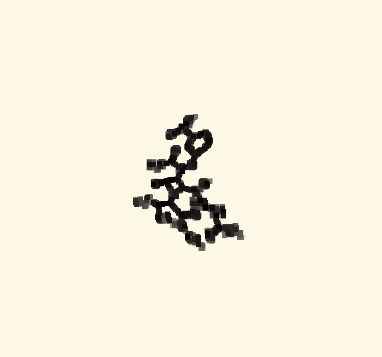 C=C(C)C(C(=O)OC)N1C(=O)C(N(Oc2cccc([N+](=O)[O-])c2)C(C)=O)C1[S+]([O-])NNC(N)=O